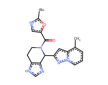 Cc1cccn2nc(C3c4nc[nH]c4CCN3C(=O)c3cnc(C(C)(C)C)o3)cc12